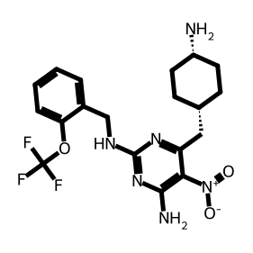 Nc1nc(NCc2ccccc2OC(F)(F)F)nc(C[C@H]2CC[C@@H](N)CC2)c1[N+](=O)[O-]